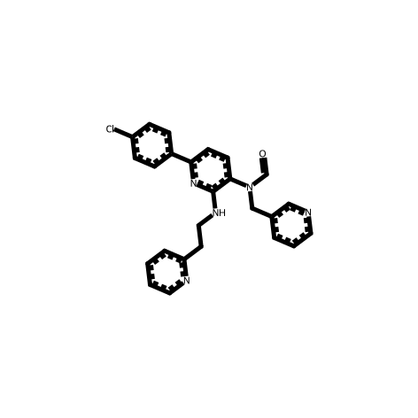 O=CN(Cc1cccnc1)c1ccc(-c2ccc(Cl)cc2)nc1NCCc1ccccn1